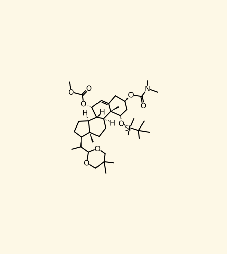 COC(=O)O[C@@H]1C=C2C[C@@H](OC(=O)N(C)C)C[C@H](O[Si](C)(C)C(C)(C)C)[C@]2(C)[C@H]2CC[C@]3(C)[C@@H](C(C)C4OCC(C)(C)CO4)CC[C@H]3[C@H]12